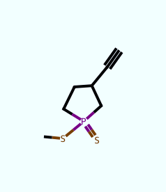 C#CC1CCP(=S)(SC)C1